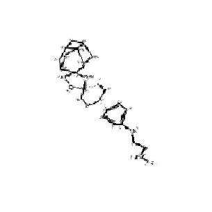 CC(C)(C)NCCOc1ccc([C@H]2CC[C@]3(CC2)OO[C@]2(O3)C3CC4CC(C3)CC2C4)cc1